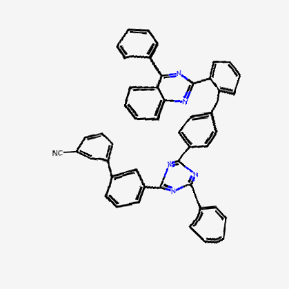 N#Cc1cccc(-c2cccc(-c3nc(-c4ccccc4)nc(-c4ccc(-c5ccccc5-c5nc(-c6ccccc6)c6ccccc6n5)cc4)n3)c2)c1